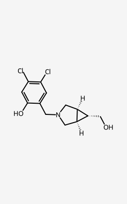 OC[C@@H]1[C@H]2CN(Cc3cc(Cl)c(Cl)cc3O)C[C@@H]12